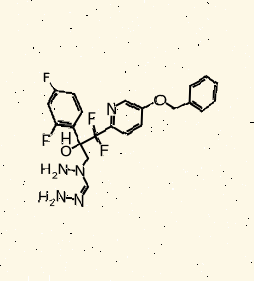 N/N=C\N(N)CC(O)(c1ccc(F)cc1F)C(F)(F)c1ccc(OCc2ccccc2)cn1